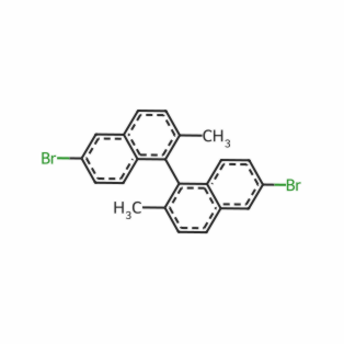 Cc1ccc2cc(Br)ccc2c1-c1c(C)ccc2cc(Br)ccc12